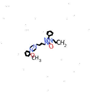 C=CCn1c(-c2ccccc2)nn(CCCCN2CCN(c3ccccc3OC)CC2)c1=O